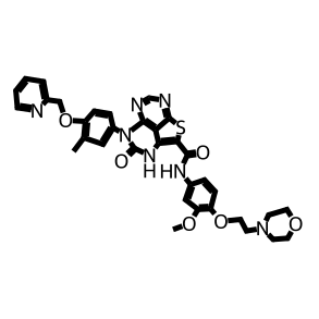 COc1cc(NC(=O)c2sc3ncnc4c3c2NC(=O)N4c2ccc(OCc3ccccn3)c(C)c2)ccc1OCCN1CCOCC1